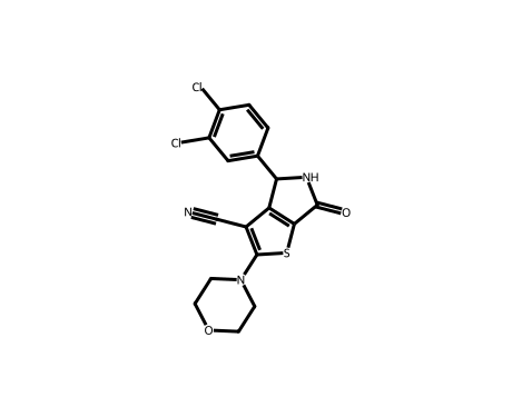 N#Cc1c(N2CCOCC2)sc2c1C(c1ccc(Cl)c(Cl)c1)NC2=O